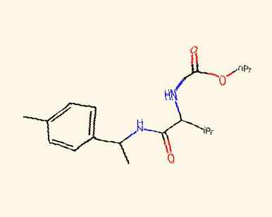 CCCOC(=O)NC(C(=O)NC(C)c1ccc(C)cc1)C(C)C